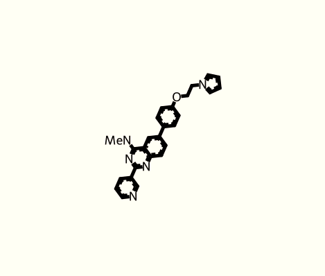 CNc1nc(-c2cccnc2)nc2ccc(-c3ccc(OCCn4cccc4)cc3)cc12